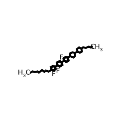 CCCCCCCCCCc1ccc(-c2ccc(-c3ccc(C4CCC(C5CCC(CCCCC)CC5)CC4)cc3F)cc2)c(F)c1F